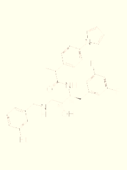 CCc1cccc(CNC[C@@H](O)[C@H](Cc2cc(F)cc(F)c2)NC(=O)C(C)c2ccc(-n3cccc3)cc2)c1